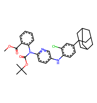 COC(=O)c1ccccc1N(C(=O)OC(C)(C)C)c1ccc(Nc2ccc(C34CC5CC(CC(C5)C3)C4)cc2Cl)cn1